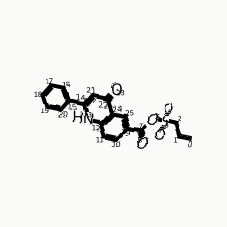 CCCS(=O)(=O)OC(=O)c1ccc2[nH]c(-c3ccccc3)cc(=O)c2c1